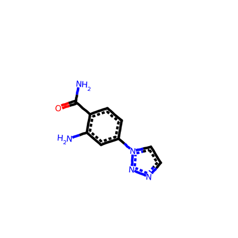 NC(=O)c1ccc(-n2ccnn2)cc1N